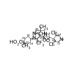 CC(C)(F)CN(CC(=O)c1c(Cl)cncc1Cl)C(=O)c1cnn(C2CCC(C)(C(=O)O)CC2)c1C(F)(F)F